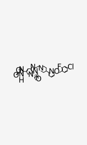 O=c1[nH]c(-c2cnc3c(c2)nc(CN2CCC(c4cccc(OCc5ccc(Cl)cc5F)n4)CC2)n3C[C@@H]2CCO2)no1